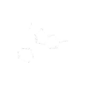 Cl.Cl.Fc1ccc2c(N3CCNCC3)n[nH]c2c1